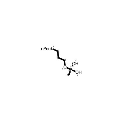 CCCCCCCCO[PH](C)(O)O